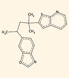 CC(CC(C)(C)c1cc2cccnc2s1)c1ccc2ncoc2c1